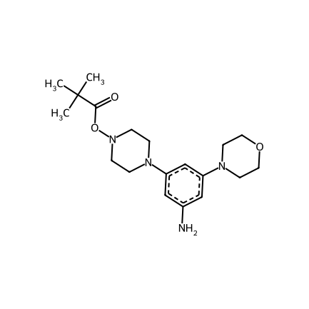 CC(C)(C)C(=O)ON1CCN(c2cc(N)cc(N3CCOCC3)c2)CC1